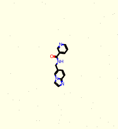 O=C(NCc1ccc2nccn2c1)c1cccnc1